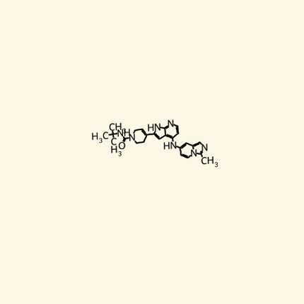 Cc1ncc2cc(Nc3ccnc4[nH]c(C5=CCN(C(=O)NC(C)(C)C)CC5)cc34)ccn12